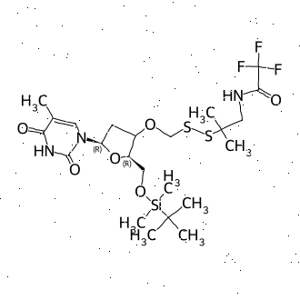 Cc1cn([C@H]2CC(OCSSC(C)(C)CNC(=O)C(F)(F)F)[C@@H](CO[Si](C)(C)C(C)(C)C)O2)c(=O)[nH]c1=O